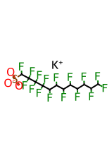 O=S(=O)([O-])C(F)C(F)(F)C(F)(F)C(F)(F)C(F)C(F)C(F)C(F)C(F)C(F)C(F)C(F)F.[K+]